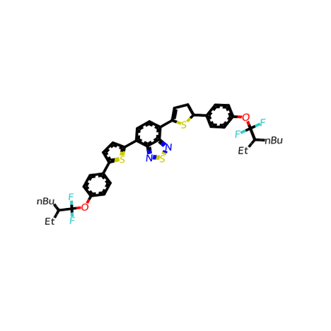 CCCCC(CC)C(F)(F)Oc1ccc(-c2ccc(-c3ccc(C4=CCC(c5ccc(OC(F)(F)C(CC)CCCC)cc5)S4)c4nsnc34)s2)cc1